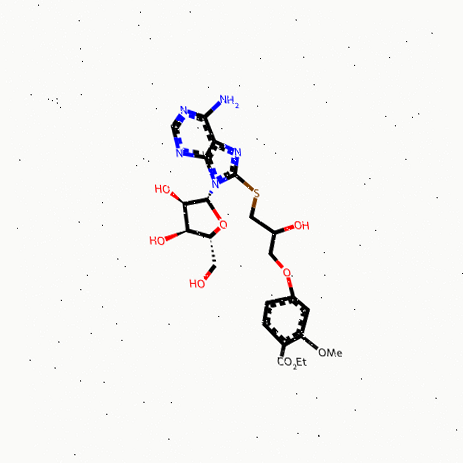 CCOC(=O)c1ccc(OCC(O)CSc2nc3c(N)ncnc3n2[C@@H]2O[C@H](CO)[C@@H](O)[C@H]2O)cc1OC